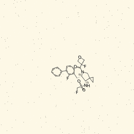 O=C(N1CC2(CC2)[C@H](NS(=O)(=O)CF)[C@@H]1Cc1cccc(-c2ccccc2)c1F)C1(F)COC1